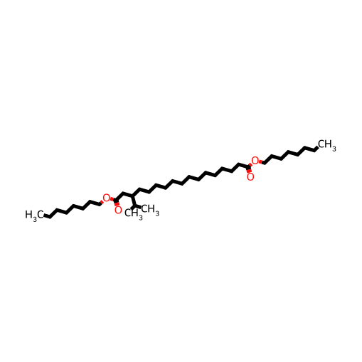 CCCCCCCCOC(=O)CCCCCCCCCCCCCC(CC(=O)OCCCCCCCC)C(C)C